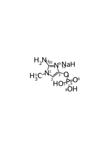 Cn1cc(OP(=O)(O)O)nc1N.[NaH]